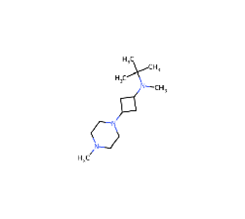 CN1CCN(C2CC(N(C)C(C)(C)C)C2)CC1